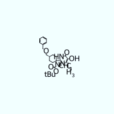 Cc1nc([C@]2(N(C)C(=O)OC(C)(C)C)CC[C@H](COCc3ccccc3)CC2)[nH]c(=O)c1O